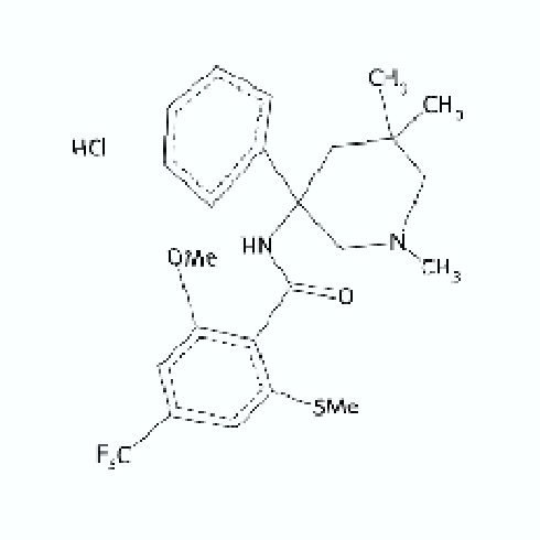 COc1cc(C(F)(F)F)cc(SC)c1C(=O)NC1(c2ccccc2)CN(C)CC(C)(C)C1.Cl